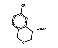 CN[C@@H]1COCc2ccc(C(F)(F)F)cc21